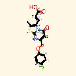 Cc1sc2nc(COc3ccc(F)cc3)cc(=O)n2c1/C=C/C(=O)O